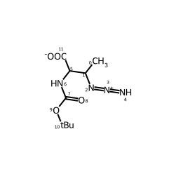 CC(N=[N+]=N)C(NC(=O)OC(C)(C)C)C(=O)[O-]